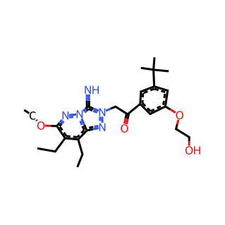 CCOc1nn2c(=N)n(CC(=O)c3cc(OCCO)cc(C(C)(C)C)c3)nc2c(CC)c1CC